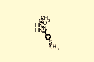 CCSc1ccc(C2CN=C(NC(=O)OC)NC2)cc1